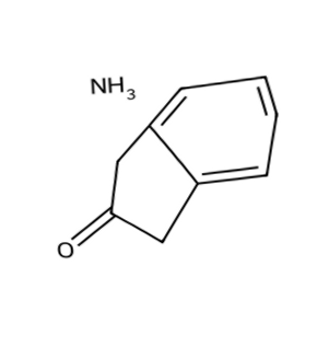 N.O=C1Cc2ccccc2C1